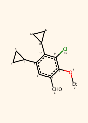 CCOc1c(C=O)cc(C2CC2)c(C2CC2)c1Cl